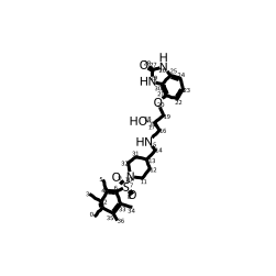 Cc1c(C)c(C)c(S(=O)(=O)N2CCC(CNC[C@H](O)COc3cccc4[nH]c(=O)[nH]c34)CC2)c(C)c1C